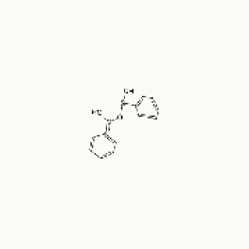 C[Si](O)(O[SiH](O)c1ccccc1)c1ccccc1